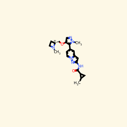 CC1CC1C(=O)Nc1cc2cc(-c3c(OC[C@H]4CCN4C)cnn3C)ccn2n1